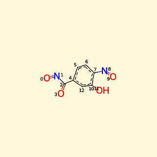 O=NC(=O)c1ccc(N=O)c(O)c1